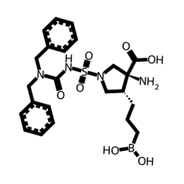 N[C@]1(C(=O)O)CN(S(=O)(=O)NC(=O)N(Cc2ccccc2)Cc2ccccc2)C[C@H]1CCCB(O)O